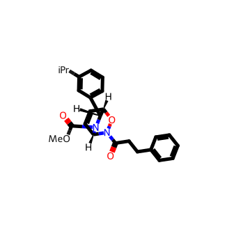 COC(=O)N1[C@H](c2cccc(C(C)C)c2)[C@@H]2C=C[C@H]1N(C(=O)CCc1ccccc1)O2